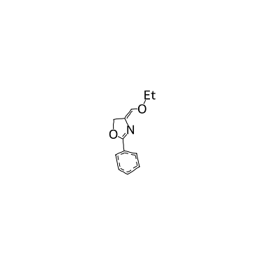 CCOC=C1COC(c2ccccc2)=N1